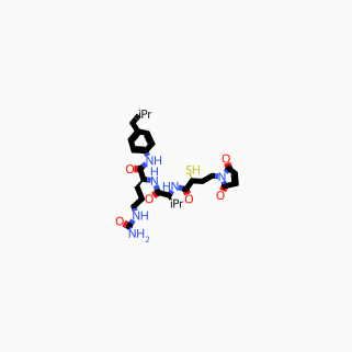 CC(C)Cc1ccc(NC(=O)[C@H](CCCNC(N)=O)NC(=O)[C@@H](NC(=O)[C@H](S)CCN2C(=O)C=CC2=O)C(C)C)cc1